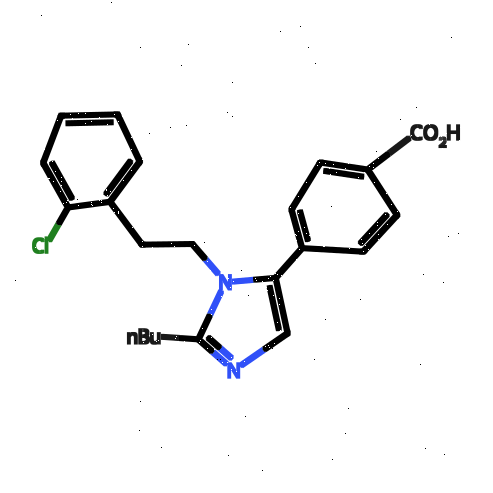 CCCCc1ncc(-c2ccc(C(=O)O)cc2)n1CCc1ccccc1Cl